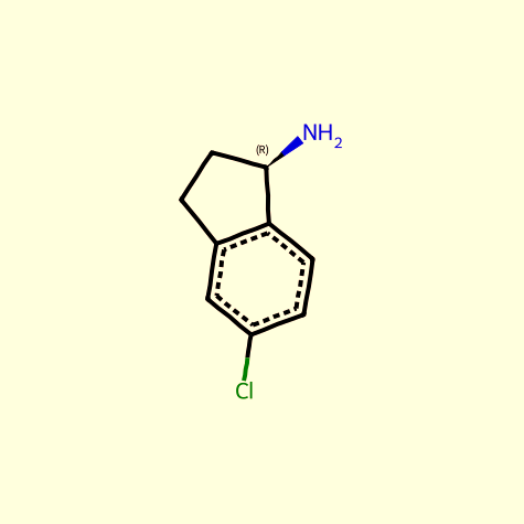 N[C@@H]1CCc2cc(Cl)ccc21